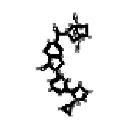 O=C(c1ccc2c(c1)CN(c1cccc(-c3nncn3C3CC3)n1)C2=O)N1C[C@H]2CC[C@@H](C1)O2